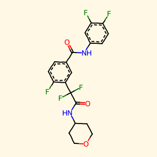 O=C(Nc1ccc(F)c(F)c1)c1ccc(F)c(C(F)(F)C(=O)NC2CCOCC2)c1